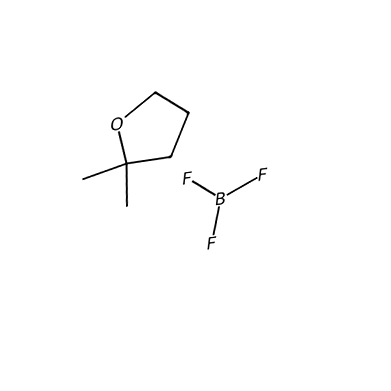 CC1(C)CCCO1.FB(F)F